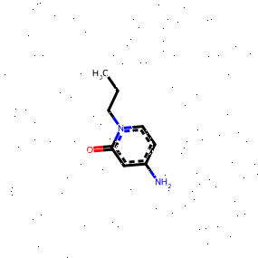 CCCn1ccc(N)cc1=O